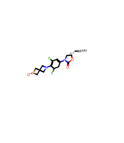 CC(=O)NC[C@H]1CN(C2=CC(F)=C(N3CC4(C3)C[S+]([O-])C4)C(F)C2)C(=O)O1